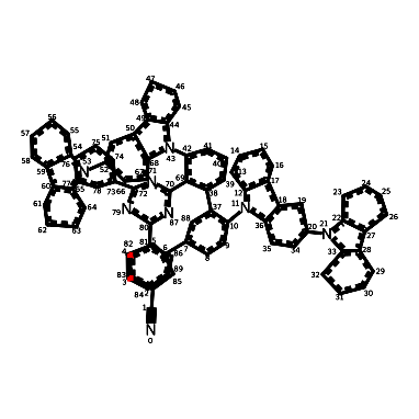 N#Cc1cccc(-c2ccc(-n3c4ccccc4c4cc(-n5c6ccccc6c6ccccc65)ccc43)c(-c3cccc(-n4c5ccccc5c5cc(-n6c7ccccc7c7ccccc76)ccc54)c3-c3nc(-c4ccccc4)nc(-c4ccccc4)n3)c2)c1